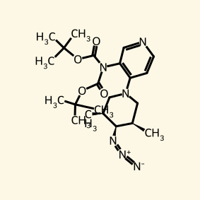 C[C@@H]1CN(c2ccncc2N(C(=O)OC(C)(C)C)C(=O)OC(C)(C)C)C[C@H](C)[C@@H]1N=[N+]=[N-]